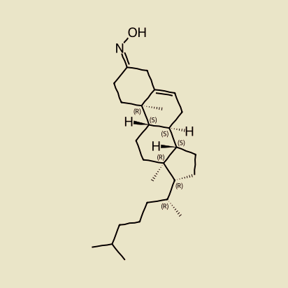 CC(C)CCC[C@@H](C)[C@H]1CC[C@H]2[C@@H]3CC=C4CC(=NO)CC[C@]4(C)[C@H]3CC[C@]12C